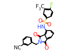 N#Cc1cccc(CN2C(=O)c3cccc(NS(=O)(=O)c4ccc(F)c(C(F)(F)F)c4)c3C2=O)c1